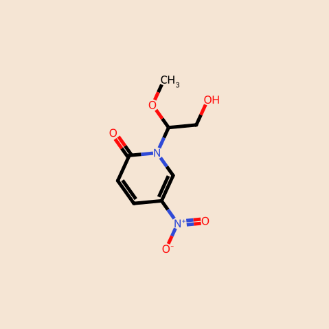 COC(CO)n1cc([N+](=O)[O-])ccc1=O